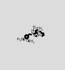 COc1ccc(CCNc2ncnc3c2c(C)c(C)n3Cc2ccco2)cc1OC